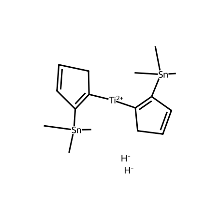 [CH3][Sn]([CH3])([CH3])[C]1=[C]([Ti+2][C]2=[C]([Sn]([CH3])([CH3])[CH3])C=CC2)CC=C1.[H-].[H-]